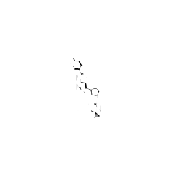 Cc1ccc(C(=O)Nc2cc(C3CCC(OC(=O)NC4(CC(F)(F)F)CC4)C3)[nH]n2)cn1